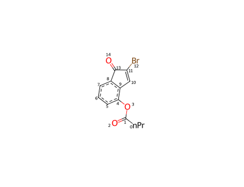 CCCC(=O)Oc1cccc2c1C=C(Br)C2=O